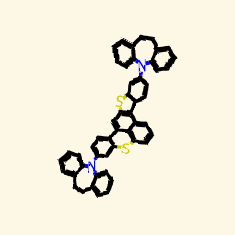 C1=CC2c3c(cc4c5c(cccc35)Sc3cc(N5c6ccccc6CCc6ccccc65)ccc3-4)SC2C=C1N1c2ccccc2CCc2ccccc21